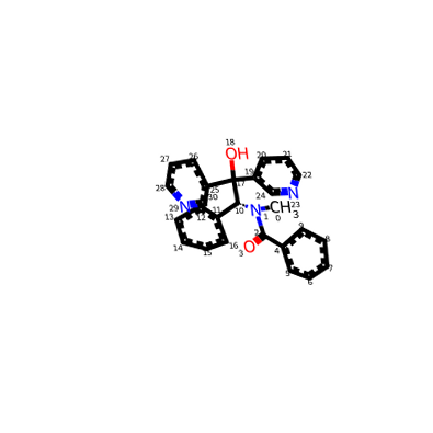 CN(C(=O)c1ccccc1)[C@H](c1ccccc1)C(O)(c1cccnc1)c1cccnc1